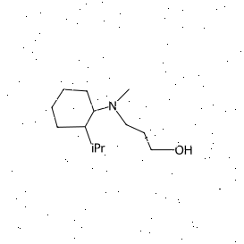 CC(C)C1CCCCC1N(C)CCCO